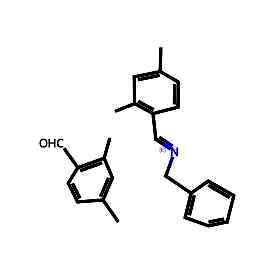 Cc1ccc(/C=N/Cc2ccccc2)c(C)c1.Cc1ccc(C=O)c(C)c1